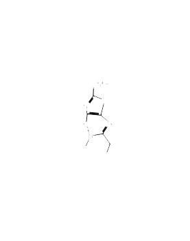 CSc1nc2c(s1)N=C(CO)N(C)N2